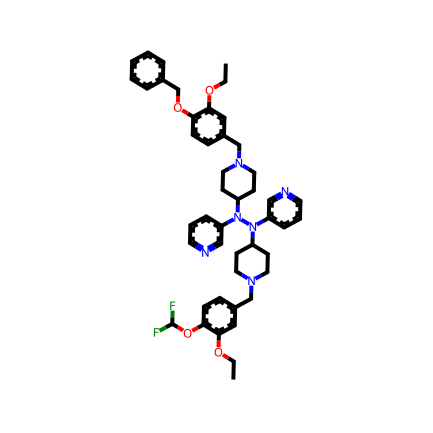 CCOc1cc(CN2CCC(N(c3cccnc3)N(c3cccnc3)C3CCN(Cc4ccc(OC(F)F)c(OCC)c4)CC3)CC2)ccc1OCc1ccccc1